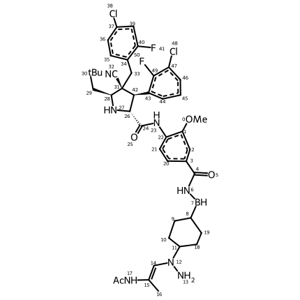 COc1cc(C(=O)NBC2CCC(N(N)/C=C(\C)NC(C)=O)CC2)ccc1NC(=O)[C@@H]1N[C@@H](CC(C)(C)C)[C@](C#N)(Cc2ccc(Cl)cc2F)[C@H]1c1cccc(Cl)c1F